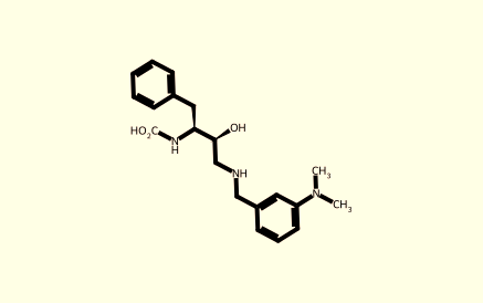 CN(C)c1cccc(CNC[C@H](O)[C@H](Cc2ccccc2)NC(=O)O)c1